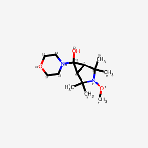 CON1C(C)(C)C2C(C1(C)C)C2(O)N1CCOCC1